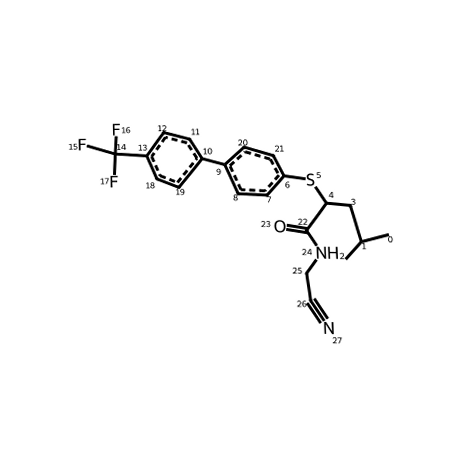 CC(C)CC(Sc1ccc(-c2ccc(C(F)(F)F)cc2)cc1)C(=O)NCC#N